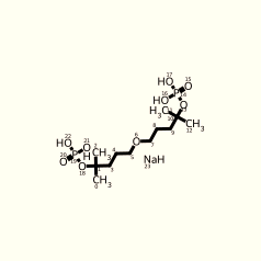 CC(C)(CCCOCCCC(C)(C)OP(=O)(O)O)OP(=O)(O)O.[NaH]